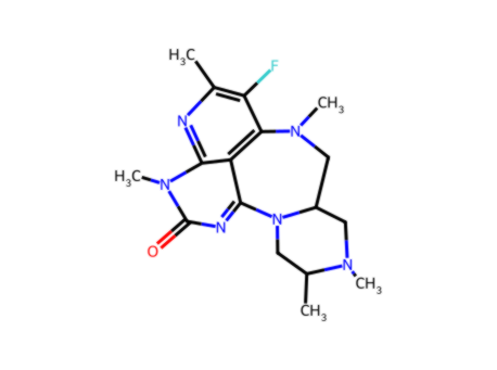 Cc1nc2c3c(nc(=O)n2C)N2CC(C)N(C)CC2CN(C)c3c1F